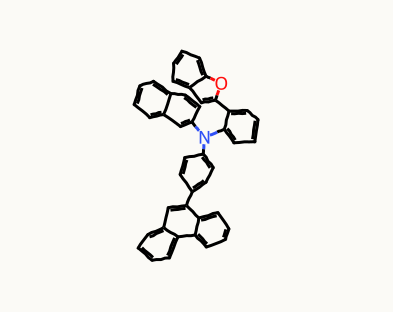 c1ccc(N(c2ccc(-c3cc4ccccc4c4ccccc34)cc2)c2ccc3ccccc3c2)c(-c2cc3ccccc3o2)c1